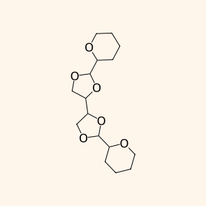 C1CCC(C2OCC(C3COC(C4CCCCO4)O3)O2)OC1